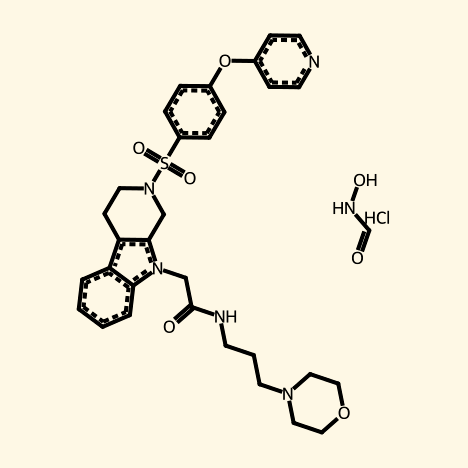 Cl.O=C(Cn1c2c(c3ccccc31)CCN(S(=O)(=O)c1ccc(Oc3ccncc3)cc1)C2)NCCCN1CCOCC1.O=CNO